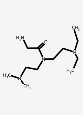 CCN(CC)CCN(CCN(C)C)C(=O)CN